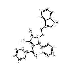 O=C(C1=C(O)C(=O)N(CCc2c[nH]c3ccccc23)C1c1ccncc1)c1cccnc1